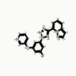 Fc1cc(Oc2cccnc2)cc(-n2nnc(-c3cccc4ccnn34)n2)c1